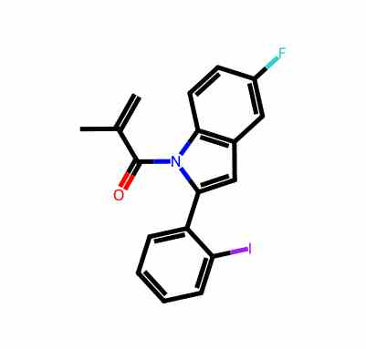 C=C(C)C(=O)n1c(-c2ccccc2I)cc2cc(F)ccc21